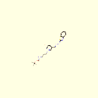 CC(C)(C)OC(=O)NCCC[n+]1cccc(C=NN=c2[nH]c3ccccc3s2)c1.[Br-]